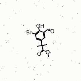 COC(=O)C(C)(C)c1cc(Br)c(O)c(C=O)c1